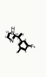 C=C(c1cc(C)cc(F)c1)c1ncc[nH]1